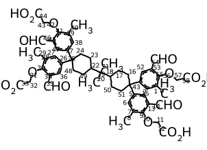 Cc1cc(C2(c3cc(C)c(OCC(=O)O)c(C=O)c3)CCC(C(C)(C)C3CCC(c4cc(C)c(OCC(=O)O)c(C=O)c4)(c4cc(C)c(OCC(=O)O)c(C=O)c4)CC3)CC2)cc(C=O)c1OCC(=O)O